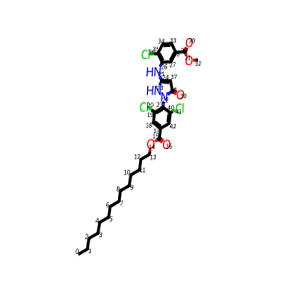 CCCCCCCCCCCCCCOC(=O)c1cc(Cl)c(-n2[nH]c(Nc3cc(C(=O)OC)ccc3Cl)cc2=O)c(Cl)c1